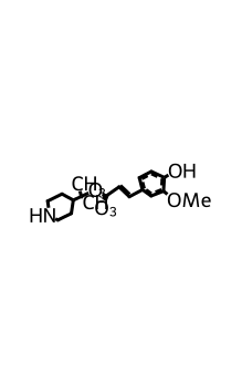 COc1cc(/C=C/C(=O)OC(C)(C)C2CCNCC2)ccc1O